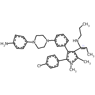 C/C=C(/NCCC)c1c(-c2cccc(N3CCN(c4ccc(N)cc4)CC3)c2)c(-c2ccc(Cl)cc2)n(C)c1C